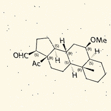 CO[C@@H]1C[C@@H]2[C@H](CC[C@]3(C(C)=O)[C@@H](C=O)CC[C@@H]23)[C@@]2(C)CCCC[C@H]12